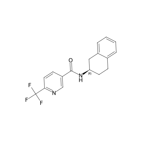 O=C(N[C@@H]1CCc2ccccc2C1)c1ccc(C(F)(F)F)nc1